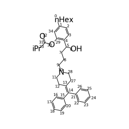 CCCCCCc1ccc(C(O)CCCN2CCC(=C(c3ccccc3)c3ccccc3)CC2)c(OC(=O)C(C)C)c1